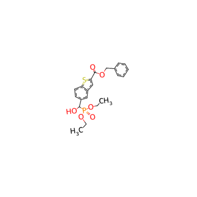 CCOP(=O)(OCC)C(O)c1ccc2sc(C(=O)OCc3ccccc3)cc2c1